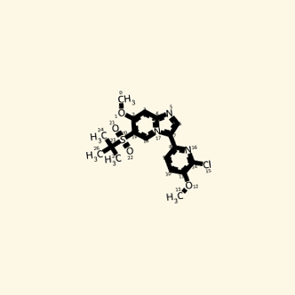 COc1cc2ncc(-c3ccc(OC)c(Cl)n3)n2cc1S(=O)(=O)C(C)(C)C